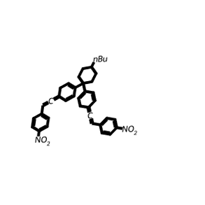 CCCCC1CCC(C2=CCC(=C=Cc3ccc([N+](=O)[O-])cc3)C=C2)(C2=CCC(=C=Cc3ccc([N+](=O)[O-])cc3)C=C2)CC1